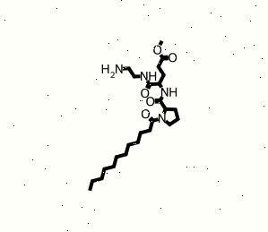 CCCCCCCCCCCC(=O)N1CCCC1C(=O)NC(CCC(=O)OC)C(=O)NCCN